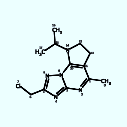 Cc1nc2nc(CCl)nn2c2c1CCN2C(C)C